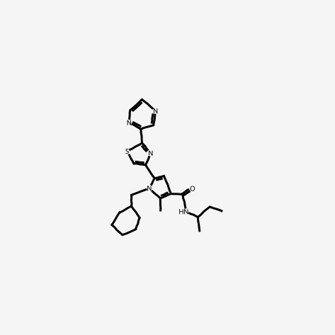 CCC(C)NC(=O)c1cc(-c2csc(-c3cnccn3)n2)n(CC2CCCCC2)c1C